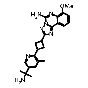 COc1cccc2c1nc(N)n1nc(C3CC(c4ncc(C(C)(C)N)cc4C)C3)nc21